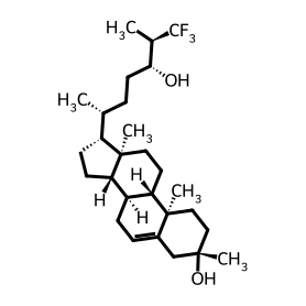 C[C@H](CC[C@@H](O)[C@@H](C)C(F)(F)F)[C@H]1CC[C@H]2[C@@H]3CC=C4C[C@@](C)(O)CC[C@]4(C)[C@H]3CC[C@]12C